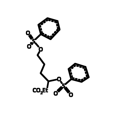 CCOC(=O)C(CCCOS(=O)(=O)c1ccccc1)OS(=O)(=O)c1ccccc1